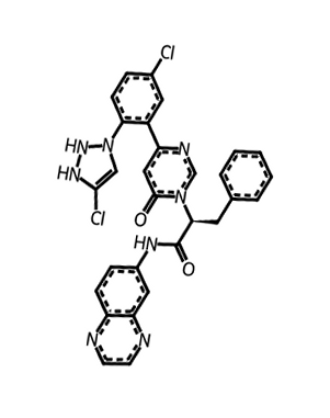 O=C(Nc1ccc2nccnc2c1)[C@H](Cc1ccccc1)n1cnc(-c2cc(Cl)ccc2N2C=C(Cl)NN2)cc1=O